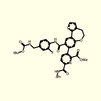 CCCNC(=O)c1ccc(-c2cc3c(cc2C(=O)Nc2ccc(CNC(=O)OC(C)(C)C)cc2F)-c2sccc2CCO3)c(C(=O)OC)n1